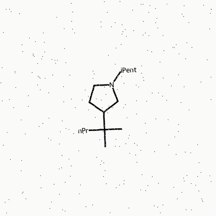 CCCC(C)N1CCC(C(C)(C)CCC)C1